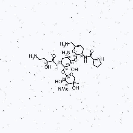 CN[C@@H]1[C@@H](O)[C@@H](O[C@@H]2[C@@H](O)[C@H](O[C@H]3OC(CN)=CC[C@H]3NC(=O)C3CCCN3)[C@@H](N)C[C@H]2NC(=O)[C@@H](O)CCN)OC[C@]1(C)O